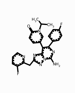 CC(C)n1cc(-c2c(-c3ccc(F)cc3)nc(N)n3nc(Cc4ncccc4F)nc23)ccc1=O